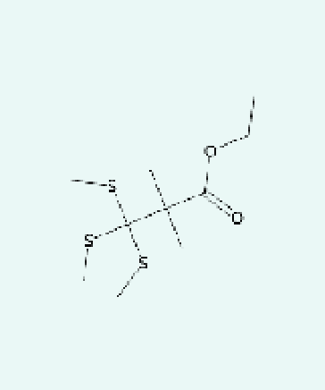 CCOC(=O)C(C)(C)C(SC)(SC)SC